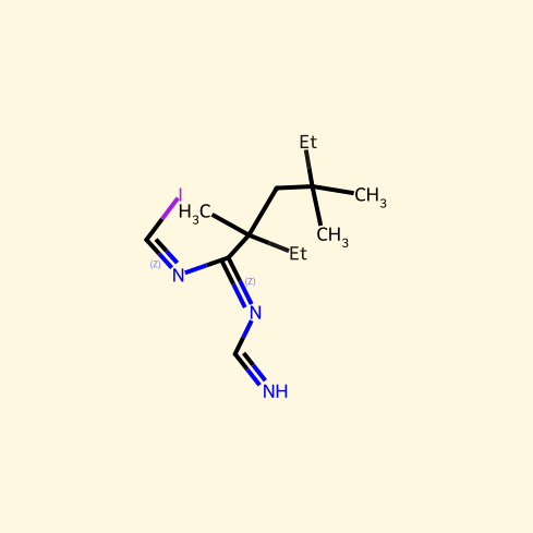 CCC(C)(C)CC(C)(CC)C(/N=C\I)=N/C=N